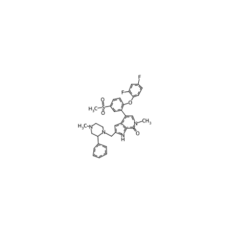 CN1CCN(Cc2cc3c(-c4cc(S(C)(=O)=O)ccc4Oc4ccc(F)cc4F)cn(C)c(=O)c3[nH]2)C(c2ccccc2)C1